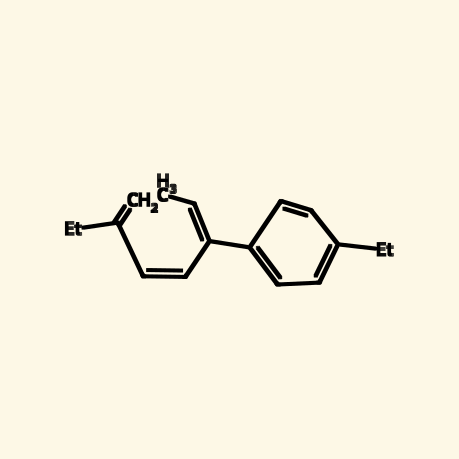 C=C(/C=C\C(=C/C)c1ccc(CC)cc1)CC